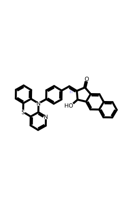 O=C1/C(=C/c2ccc(N3c4ccccc4Sc4cccnc43)cc2)C(O)c2cc3ccccc3cc21